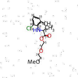 COCCOCCOC(=O)C(C)Nc1c(C)cccc1Cl